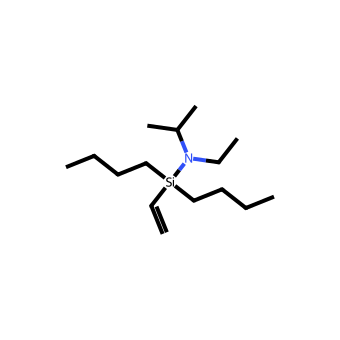 C=C[Si](CCCC)(CCCC)N(CC)C(C)C